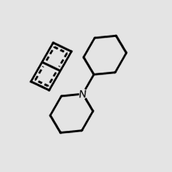 C1CCC(N2CCCCC2)CC1.c1cc2ccc1-2